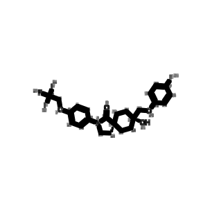 O=C1N(c2ccc(OCC(F)(F)F)cc2)CC[C@]12CC[C@@](O)(COc1ccc(F)cc1)CC2